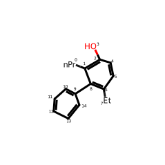 CCCc1c(O)ccc(CC)c1-c1ccccc1